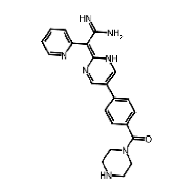 N=C(N)/C(=C1/N=CC(c2ccc(C(=O)N3CCNCC3)cc2)=CN1)c1ccccn1